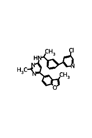 Cc1nc(NC(C)c2cccc(-c3cncc(Cl)c3)c2)cc(-c2ccc3occ(C)c3c2)n1